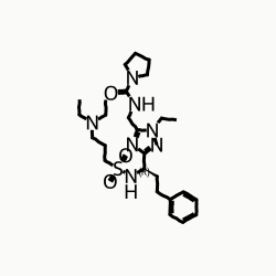 CCN(CC)CCCS(=O)(=O)N[C@H](CCc1ccccc1)c1nc(CNC(=O)N2CCCC2)n(CC)n1